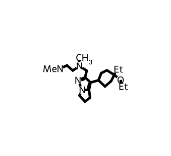 CCOC1(CC)CCC(c2c(CN(C)CCNC)nn3c2CCC3)CC1